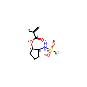 C=C(C)C(=O)OC1CCCC1NS(=O)(=O)CC